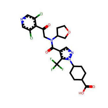 O=C(CN(C(=O)c1cnn(C2CCC(C(=O)O)CC2)c1C(F)(F)F)C1CCOC1)c1c(Cl)cncc1Cl